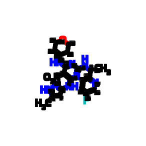 Cc1cc(Nc2nc(N[C@@H](C)c3ccc(F)cn3)nc(NC3CCOCC3)c2[N+](=O)[O-])n[nH]1